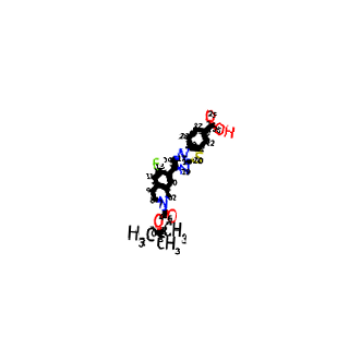 CC(C)(C)OC(=O)N1CCc2cc(F)c(-c3cn4c(n3)sc3cc(C(=O)O)ccc34)cc2C1